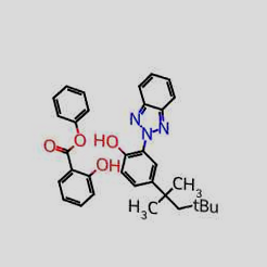 CC(C)(C)CC(C)(C)c1ccc(O)c(-n2nc3ccccc3n2)c1.O=C(Oc1ccccc1)c1ccccc1O